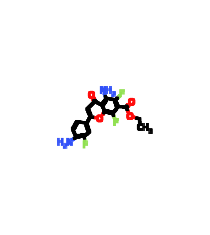 CCOC(=O)c1c(F)c(N)c2c(=O)cc(-c3ccc(N)c(F)c3)oc2c1F